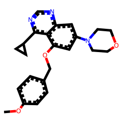 COc1ccc(COc2cc(N3CCOCC3)cc3ncnc(C4CC4)c23)cc1